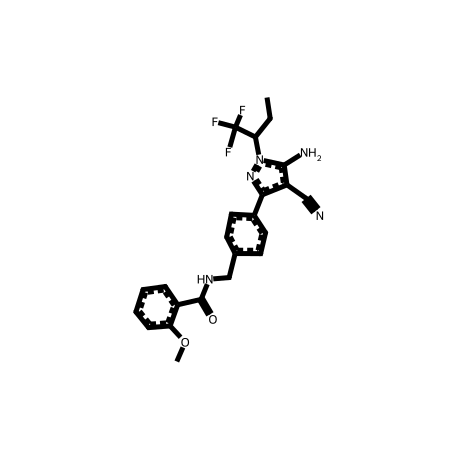 CCC(n1nc(-c2ccc(CNC(=O)c3ccccc3OC)cc2)c(C#N)c1N)C(F)(F)F